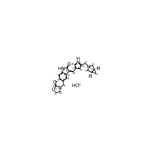 Cl.O=C1Nc2ccc(CN3CCOC3=O)cc2/C1=C/c1c[nH]c(CN2C[C@H]3C[C@H]3C2)c1